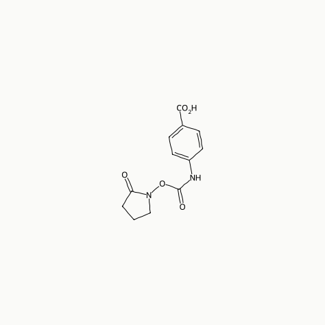 O=C(Nc1ccc(C(=O)O)cc1)ON1CCCC1=O